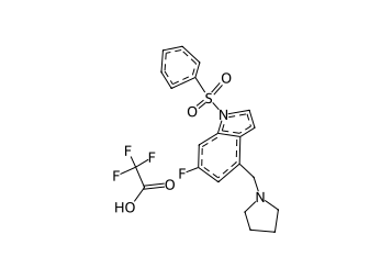 O=C(O)C(F)(F)F.O=S(=O)(c1ccccc1)n1ccc2c(CN3CCCC3)cc(F)cc21